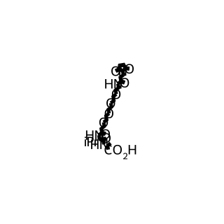 CC(NC(=O)C(NC(=O)CCOCCOCCOCCOCCNC(=O)CCN1C(=O)C=CC1=O)C(C)C)C(=O)O